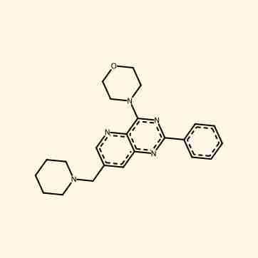 c1ccc(-c2nc(N3CCOCC3)c3ncc(CN4CCCCC4)cc3n2)cc1